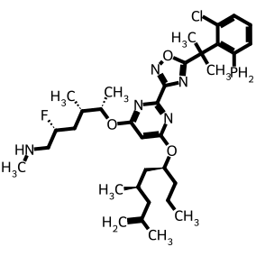 C=C(C)C[C@@H](C)C[C@H](CCC)Oc1cc(O[C@@H](C)[C@@H](C)C[C@@H](F)CNC)nc(-c2noc(C(C)(C)c3c(P)cccc3Cl)n2)n1